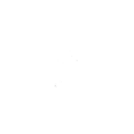 [NH]C(=O)COc1ccccc1N